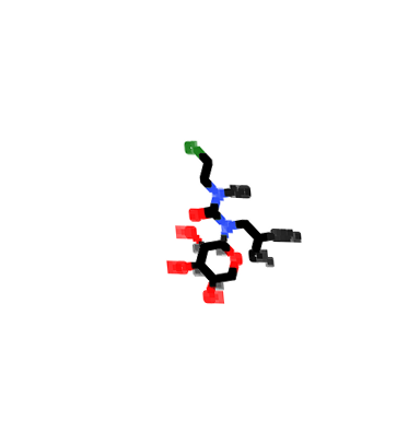 COC(C)CN(C(=O)N(CCCl)N=O)[C@@H]1OC[C@@H](O)[C@@H](O)[C@@H]1O